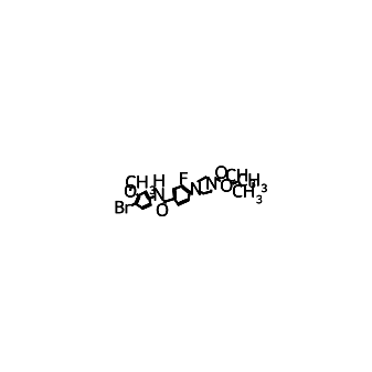 COc1cc(NC(=O)c2ccc(N3CCN(C(=O)OC(C)(C)C)CC3)c(F)c2)ccc1Br